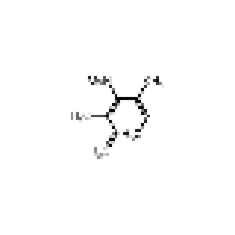 C=C/C(C)=C(NC)\C(C)=C/C